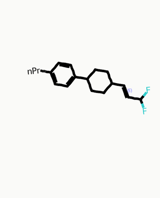 CCCc1ccc(C2CCC(/C=C/C(F)F)CC2)cc1